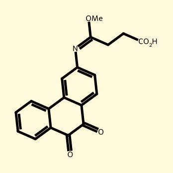 COC(CCC(=O)O)=Nc1ccc2c(c1)-c1ccccc1C(=O)C2=O